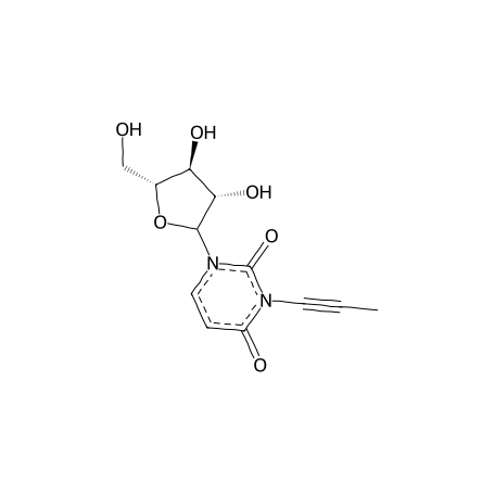 CC#Cn1c(=O)ccn(C2O[C@H](CO)[C@@H](O)[C@@H]2O)c1=O